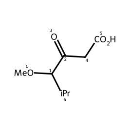 COC(C(=O)CC(=O)O)C(C)C